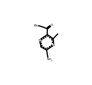 Cc1nc(N)cnc1C(=O)C(C)(C)C